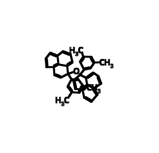 Cc1cc(C)cc(C2(OC3(c4cc(C)cc(C)c4)C=Cc4cccc5cccc3c45)C=Cc3cccc4cccc2c34)c1